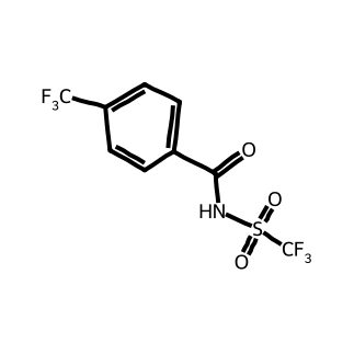 O=C(NS(=O)(=O)C(F)(F)F)c1ccc(C(F)(F)F)cc1